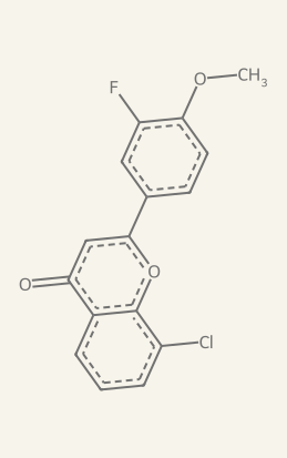 COc1ccc(-c2cc(=O)c3cccc(Cl)c3o2)cc1F